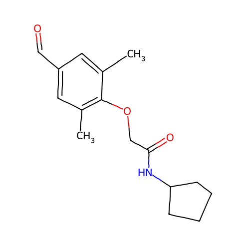 Cc1cc(C=O)cc(C)c1OCC(=O)NC1CCCC1